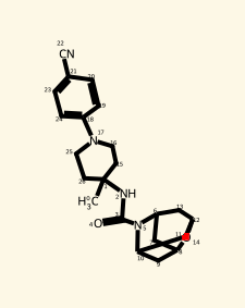 CC1(NC(=O)N2C3CC4CC2CC(C3)O4)CCN(c2ccc(C#N)cc2)CC1